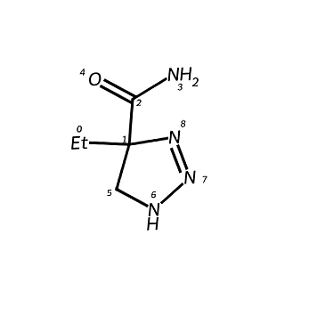 [CH2]CC1(C(N)=O)CNN=N1